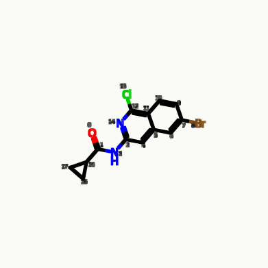 O=C(Nc1cc2cc(Br)ccc2c(Cl)n1)C1CC1